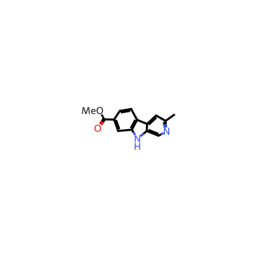 COC(=O)c1ccc2c(c1)[nH]c1cnc(C)cc12